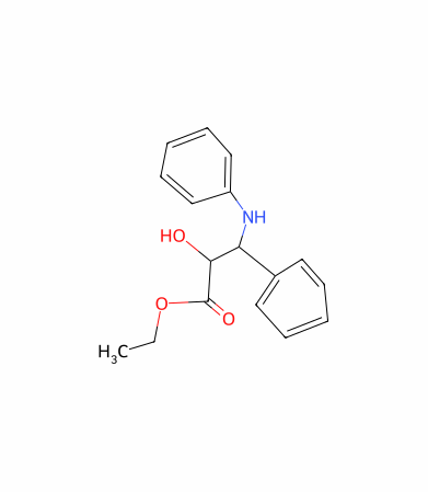 CCOC(=O)C(O)C(Nc1ccccc1)c1ccccc1